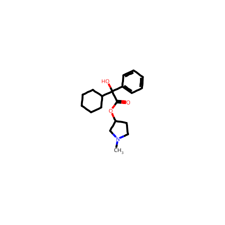 CN1CCC(OC(=O)C(O)(c2ccccc2)C2CCCCC2)C1